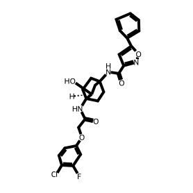 O=C(COc1ccc(Cl)c(F)c1)NC12CCC(NC(=O)c3cc(-c4ccccc4)on3)(CC1)C[C@@H]2O